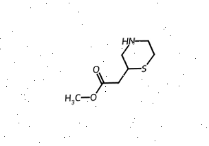 COC(=O)CC1CNCCS1